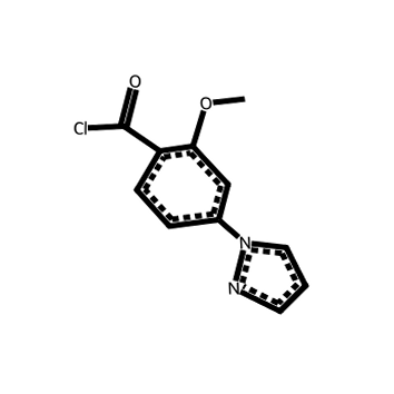 COc1cc(-n2cccn2)ccc1C(=O)Cl